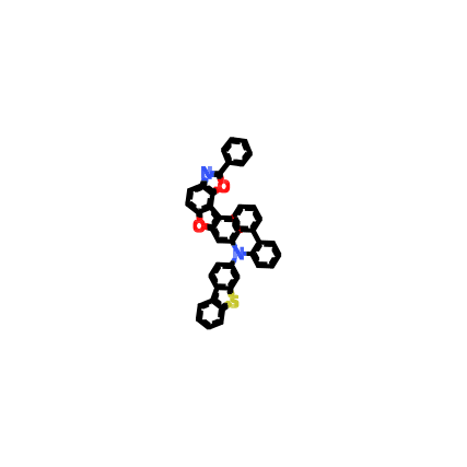 c1ccc(-c2nc3ccc4oc5cc(N(c6ccc7c(c6)sc6ccccc67)c6ccccc6-c6ccccc6)ccc5c4c3o2)cc1